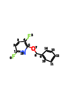 Fc1ccc(F)c(OCc2ccccc2)n1